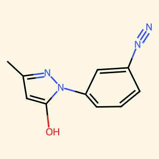 Cc1cc(O)n(-c2cccc([N+]#N)c2)n1